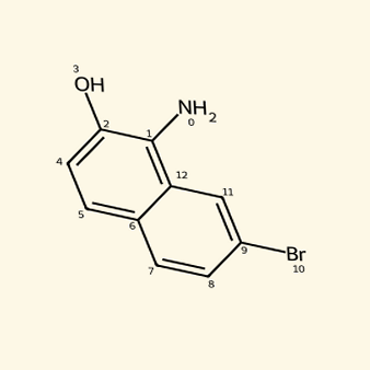 Nc1c(O)ccc2ccc(Br)cc12